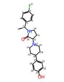 C[C@@H](c1ccc(F)cc1)N1CC[C@@H](N2CCC(c3ccc(O)cc3)CC2)C1=O